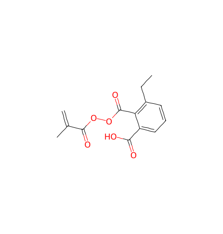 C=C(C)C(=O)OOC(=O)c1c(CC)cccc1C(=O)O